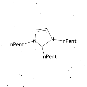 CCCCCC1N(CCCCC)C=CN1CCCCC